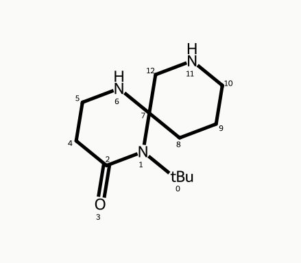 CC(C)(C)N1C(=O)CCNC12CCCNC2